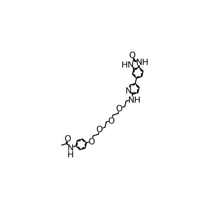 CC(=O)Nc1ccc(OCCOCCOCCOCCNc2ccc(-c3ccc4[nH]c(=O)[nH]c4c3)cn2)cc1